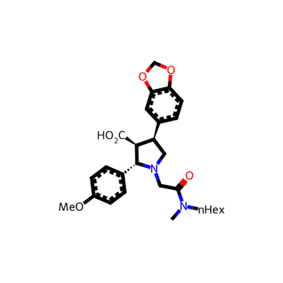 CCCCCCN(C)C(=O)CN1C[C@H](c2ccc3c(c2)OCO3)[C@H](C(=O)O)[C@H]1c1ccc(OC)cc1